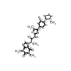 Cc1oc(NC(=O)[C@H](C)n2cnc3c2c(=O)n(C)c(=O)n3C)nc1-c1ccc(N2CCC[C@@H]2C)c(F)c1